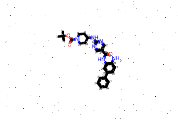 CC(C)(C)OC(=O)N1CCC(Nc2ncc(C(=O)Nc3cc(-c4ccccc4)ccc3N)cn2)CC1